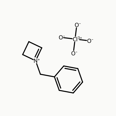 C1=[N+](Cc2ccccc2)CC1.[O-][Cl+3]([O-])([O-])[O-]